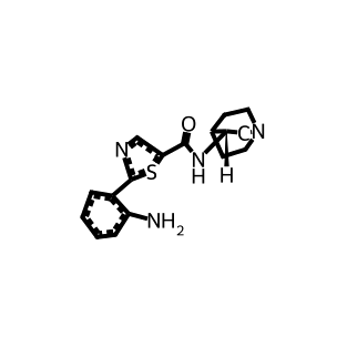 Nc1ccccc1-c1ncc(C(=O)N[C@H]2CN3CCC2CC3)s1